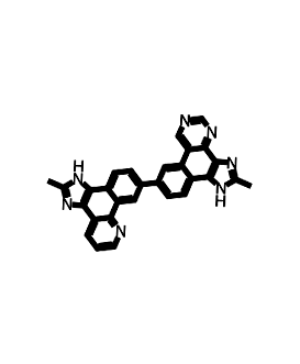 Cc1nc2c3cccnc3c3cc(-c4ccc5c(c4)c4cncnc4c4nc(C)[nH]c54)ccc3c2[nH]1